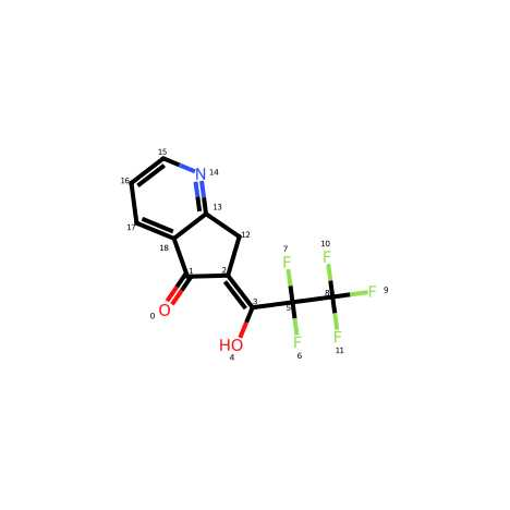 O=C1/C(=C(\O)C(F)(F)C(F)(F)F)Cc2ncccc21